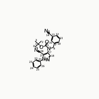 CC(C)(C)OC(=O)N(Cc1cccc(C#N)c1)c1cnn(-c2ccccc2)c1C#N